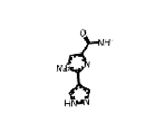 [NH-]C(=O)c1csc(-c2cn[nH]c2)n1.[Na+]